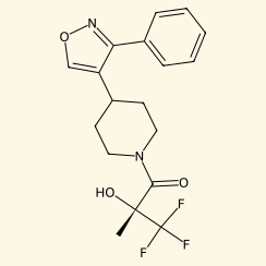 C[C@@](O)(C(=O)N1CCC(c2conc2-c2ccccc2)CC1)C(F)(F)F